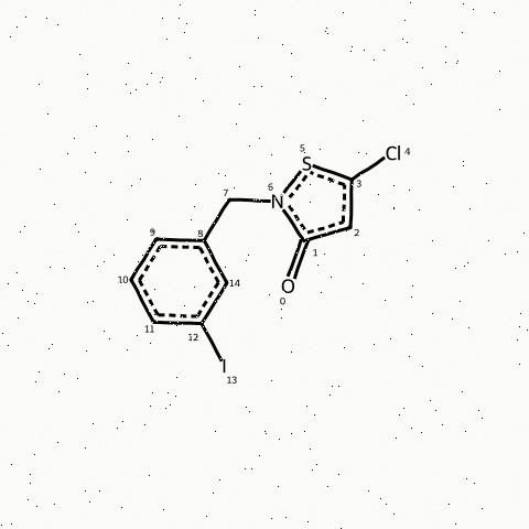 O=c1cc(Cl)sn1Cc1cccc(I)c1